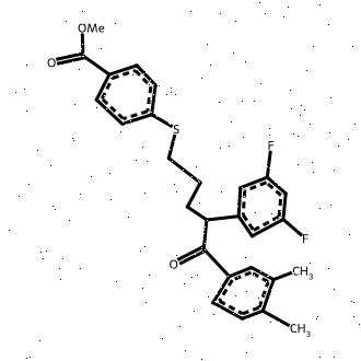 COC(=O)c1ccc(SCCCC(C(=O)c2ccc(C)c(C)c2)c2cc(F)cc(F)c2)cc1